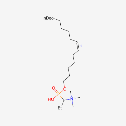 CCCCCCCCCCCCCC/C=C\CCCCCOP(=O)(O)C(CC)[N+](C)(C)C